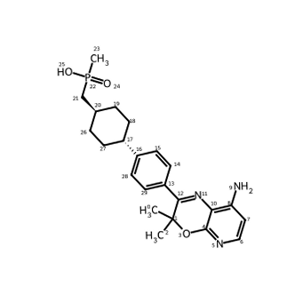 CC1(C)Oc2nccc(N)c2N=C1c1ccc([C@H]2CC[C@H](CP(C)(=O)O)CC2)cc1